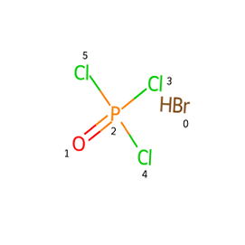 Br.O=P(Cl)(Cl)Cl